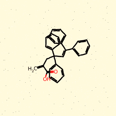 C=C(CC(C=C(c1ccccc1)c1ccccc1)(c1ccccc1)c1ccccc1)C(=O)O